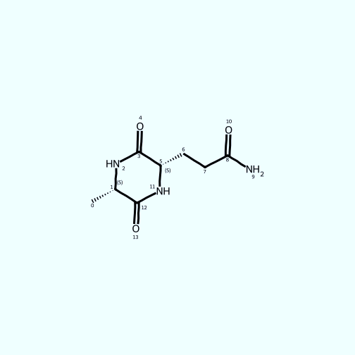 C[C@@H]1NC(=O)[C@H](CCC(N)=O)NC1=O